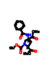 COC(=O)[C@@H]1C[C@](NC(=O)c2ccccc2)(C(=O)OC)CN1C(=O)OC(C)(C)C